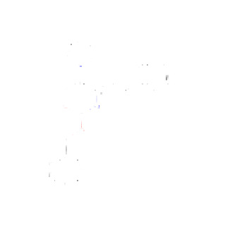 O=C(N[C@@H](CCc1ccccc1)C(=O)N1CCCC1)OCc1ccccc1